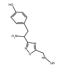 CCCNCc1nc(C(N)Cc2ccc(O)cc2)no1